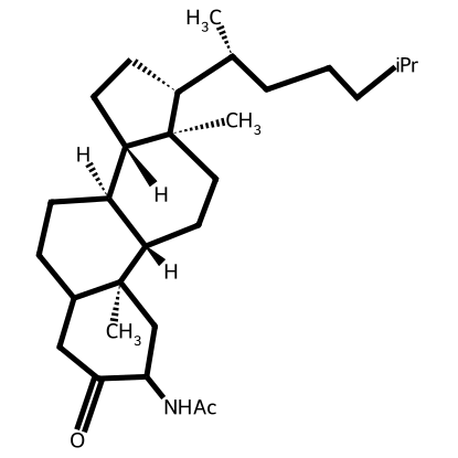 CC(=O)NC1C[C@@]2(C)C(CC[C@H]3[C@@H]4CC[C@H]([C@H](C)CCCC(C)C)[C@@]4(C)CC[C@@H]32)CC1=O